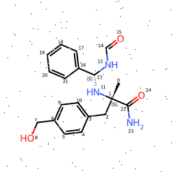 C[C@@](Cc1ccc(CO)cc1)(N[C@@H](NC=O)c1ccccc1)C(N)=O